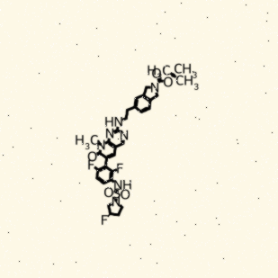 Cn1c(=O)c(-c2c(F)ccc(NS(=O)(=O)N3CC[C@@H](F)C3)c2F)cc2cnc(NCCc3ccc4c(c3)CN(C(=O)OC(C)(C)C)C4)nc21